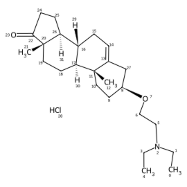 CCN(CC)CCO[C@H]1CC[C@@]2(C)C(=CC[C@@H]3[C@@H]2CC[C@]2(C)C(=O)CC[C@@H]32)C1.Cl